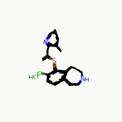 Cc1cccnc1C(C)Sc1c(Cl)ccc2c1CCNCC2.Cl